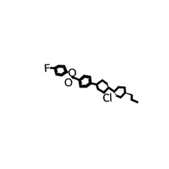 CCC[C@H]1CC[C@H]([C@@H]2CCC(c3ccc(C(=O)Oc4ccc(F)cc4)cc3)CC2Cl)CC1